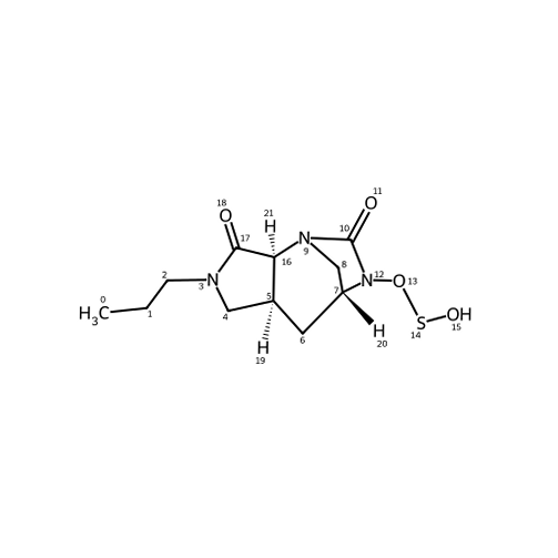 CCCN1C[C@@H]2C[C@@H]3CN(C(=O)N3OSO)[C@@H]2C1=O